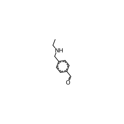 CCNCc1ccc(C=O)cc1